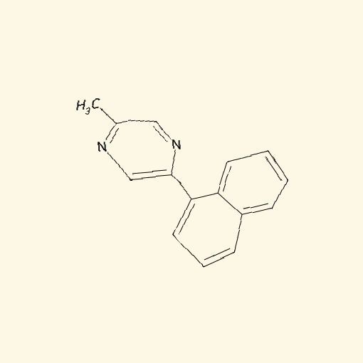 Cc1cnc(-c2cccc3ccccc23)cn1